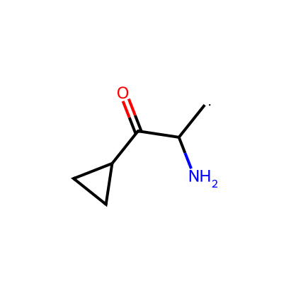 [CH2]C(N)C(=O)C1CC1